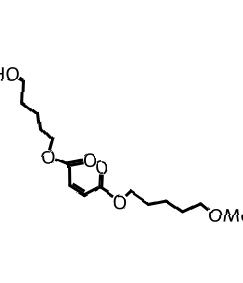 COCCCCCOC(=O)/C=C\C(=O)OCCCCCO